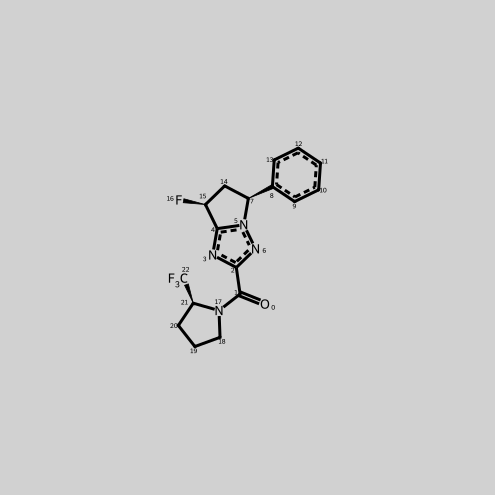 O=C(c1nc2n(n1)[C@H](c1ccccc1)C[C@@H]2F)N1CCC[C@H]1C(F)(F)F